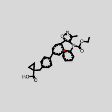 CCOC(=O)N(c1ccccc1)c1c(C)noc1-c1ccc(-c2ccc(CC3(C(=O)O)CC3)cc2)cc1